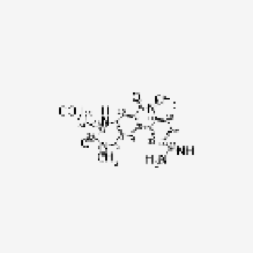 CN1Cc2ccc(C(=O)N(C)c3ccc(C(=N)N)cc3)cc2N[C@H](CC(=O)O)C1=O